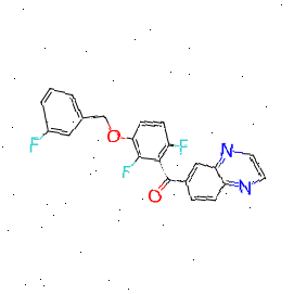 O=C(c1ccc2nccnc2c1)c1c(F)ccc(OCc2cccc(F)c2)c1F